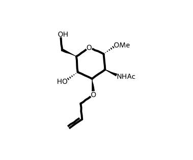 C=CCO[C@H]1[C@H](O)[C@@H](CO)O[C@H](OC)[C@H]1NC(C)=O